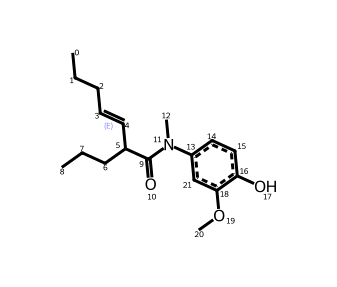 CCC/C=C/C(CCC)C(=O)N(C)c1ccc(O)c(OC)c1